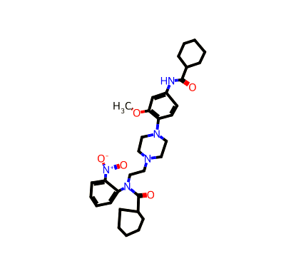 COc1cc(NC(=O)C2CCCCC2)ccc1N1CCN(CCN(C(=O)C2CCCCC2)c2ccccc2[N+](=O)[O-])CC1